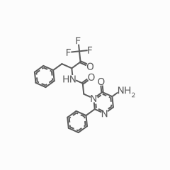 Nc1cnc(-c2ccccc2)n(CC(=O)NC(Cc2ccccc2)C(=O)C(F)(F)F)c1=O